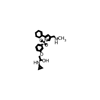 CNCc1cc(C2=CCCCC2)n(S(=O)(=O)c2cccc(OCC(O)NC3CC3)c2)c1